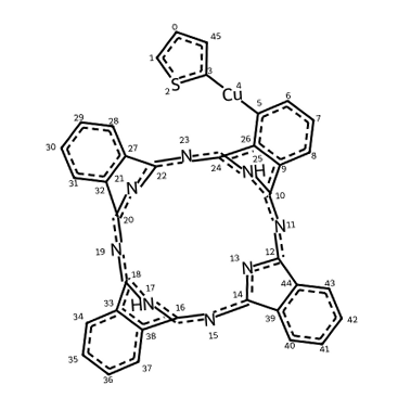 c1cs[c]([Cu][c]2cccc3c4nc5nc(nc6[nH]c(nc7nc(nc([nH]4)c23)-c2ccccc2-7)c2ccccc62)-c2ccccc2-5)c1